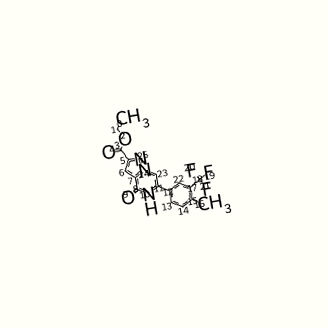 CCOC(=O)c1cc2c(=O)[nH]c(-c3ccc(C)c(C(F)(F)F)c3)cn2n1